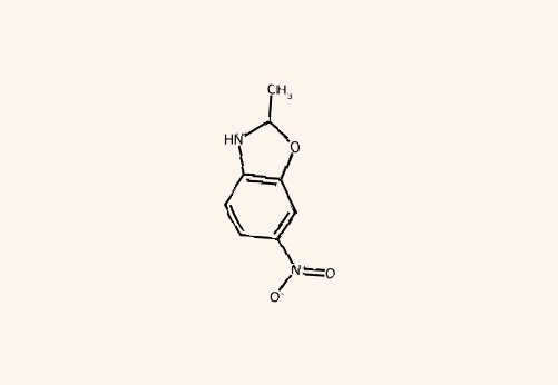 CC1Nc2ccc([N+](=O)[O-])cc2O1